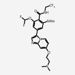 CNc1cc(-c2cnc3cc(OCCN(C)C)ccn23)cc(OC(F)F)c1C(=O)NCC(F)(F)F